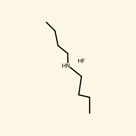 CCCCNCCCC.F